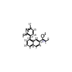 C/C=C(\OC)c1ccc2cccc(-c3ccc(C)nc3F)c2c1